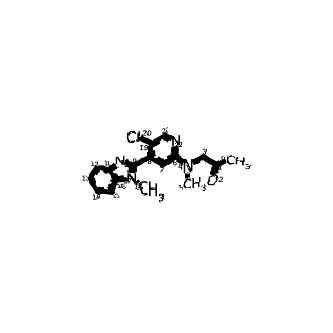 CC(=O)CN(C)c1cc(-c2nc3ccccc3n2C)c(Cl)cn1